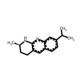 CC(C)c1ccc2cc3c(nc2c1)N[C@H](C)CC3